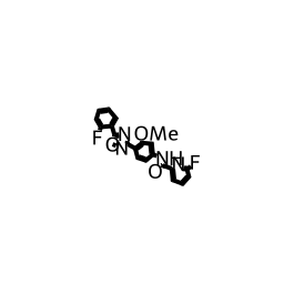 COc1cc(NC(=O)c2cccc(F)n2)ccc1-c1noc(-c2ccccc2F)n1